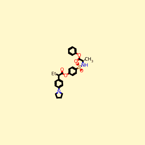 CCC(C(=O)Oc1ccc(S(=O)(=O)N[C@@H](C)C(=O)Oc2ccccc2)cc1)c1ccc(N2CCCC2)cc1